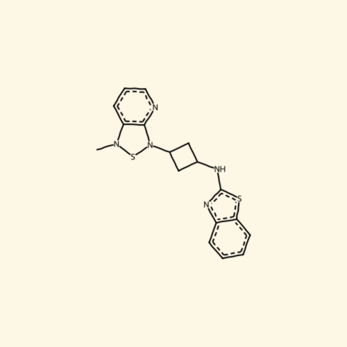 CN1SN(C2CC(Nc3nc4ccccc4s3)C2)c2ncccc21